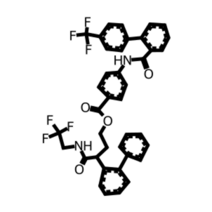 O=C(OCCC(C(=O)NCC(F)(F)F)c1ccccc1-c1ccccc1)c1ccc(NC(=O)c2ccccc2-c2ccc(C(F)(F)F)cc2)cc1